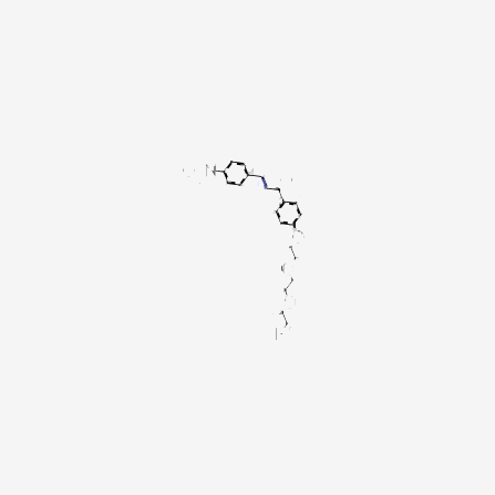 O=C(/C=C/c1ccc([N+](=O)[O-])cc1)c1ccc(OCCOCCOCCF)cc1